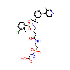 Cc1cnccc1-c1cccc(C(C)(C)N(CCCC(=O)NCCS(=O)(=O)NCC(=O)O)S(=O)(=O)c2cccc(Cl)c2C)c1